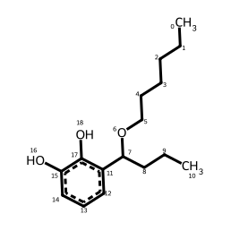 CCCCCCOC(CCC)c1cccc(O)c1O